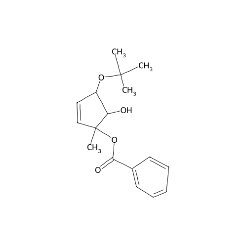 CC(C)(C)OC1C=CC(C)(OC(=O)c2ccccc2)C1O